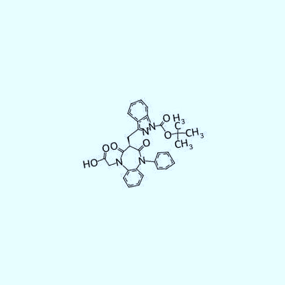 CC(C)(C)OC(=O)n1nc(C[C@@H]2C(=O)N(CC(=O)O)c3ccccc3N(c3ccccc3)C2=O)c2ccccc21